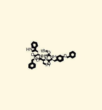 CC(C)C[C@H](NC(=O)[C@H](Cc1ccc(OCc2ccccc2)cc1)NC(=O)OC(C)(C)C)C(=O)N[C@@H](Cc1c[nH]c2ccccc12)C(=O)NCc1ccccc1